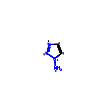 Nn1ccnn1